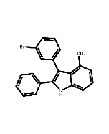 Cc1cccc2[nH]c(-c3ccccc3)c(-c3cccc(Br)c3)c12